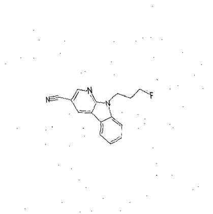 N#Cc1cnc2c(c1)c1ccccc1n2CCCF